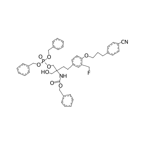 N#Cc1ccc(CCCOc2ccc(CCC(CO)(COP(=O)(OCc3ccccc3)OCc3ccccc3)NC(=O)OCc3ccccc3)cc2CF)cc1